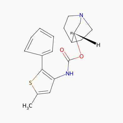 Cc1cc(NC(=O)O[C@H]2CN3CCC2CC3)c(-c2ccccc2)s1